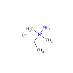 CC[N+](C)(C)N.[Br-]